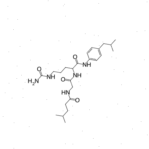 CC(C)CCC(=O)NCC(=O)NC(CCCNC(N)=O)C(=O)Nc1ccc(CC(C)C)cc1